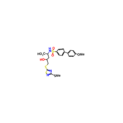 COc1ccc(-c2ccc(S(=O)(=O)NC(CC(O)CSc3nc(SC)ns3)C(=O)O)cc2)cc1